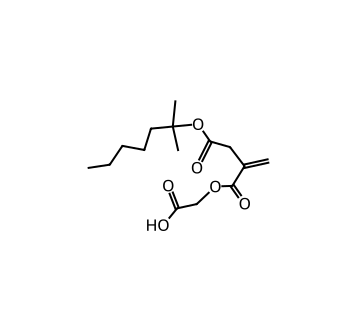 C=C(CC(=O)OC(C)(C)CCCCC)C(=O)OCC(=O)O